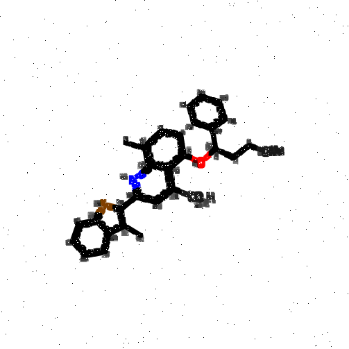 COCC[C@@H](Oc1ccc(C)c2nc(-c3sc4ccccc4c3C)cc(C(=O)O)c12)c1ccccc1